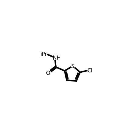 CC(C)NC(=O)c1ccc(Cl)s1